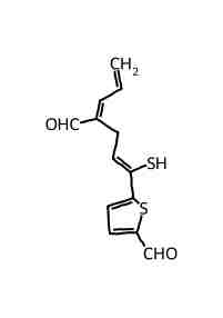 C=C/C=C(/C=O)C/C=C(\S)c1ccc(C=O)s1